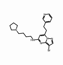 Brc1cnn2c(CCc3cccnc3)cc(NCCCCN3CCCC3)nc12